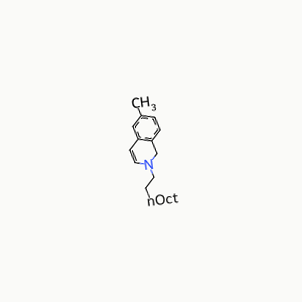 CCCCCCCCCCN1C=Cc2cc(C)ccc2C1